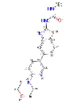 CCNC(=O)Nc1nc2cc(-c3ccc(N4CCOCC4)nc3)ccc2s1